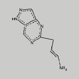 NC=CCc1ncc2[nH]ncc2n1